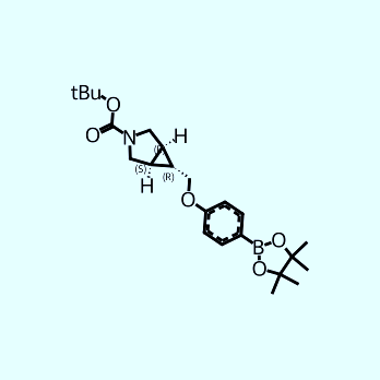 CC(C)(C)OC(=O)N1C[C@@H]2[C@@H](COc3ccc(B4OC(C)(C)C(C)(C)O4)cc3)[C@@H]2C1